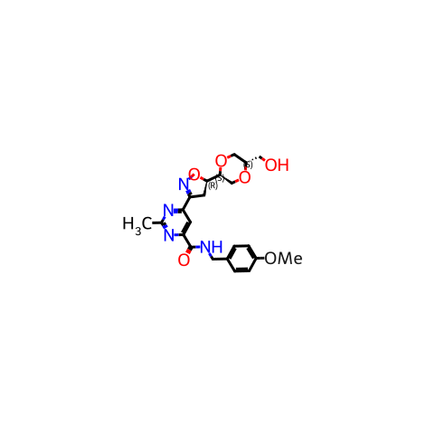 COc1ccc(CNC(=O)c2cc(C3=NO[C@@H]([C@@H]4CO[C@@H](CO)CO4)C3)nc(C)n2)cc1